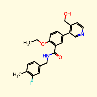 CCOc1ccc(-c2cnccc2CO)cc1C(=O)NCc1ccc(C)c(F)c1